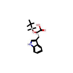 CC(C)(C)[Si](C)(C)O[C@@H](Cc1c[nH]c2ccccc12)C(=O)O